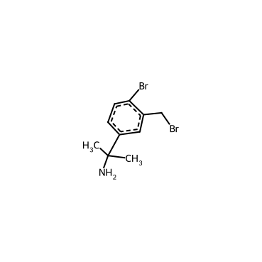 CC(C)(N)c1ccc(Br)c(CBr)c1